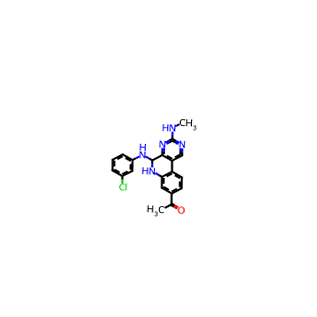 CNc1ncc2c(n1)C(Nc1cccc(Cl)c1)Nc1cc(C(C)=O)ccc1-2